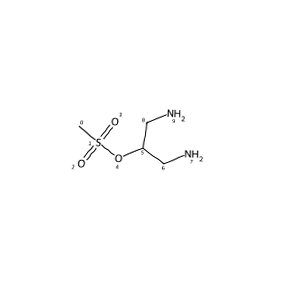 CS(=O)(=O)OC(CN)CN